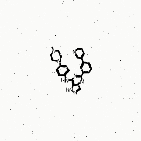 CN1CCN(c2ccc(Nc3nc(-c4cccc(-c5cccnc5)c4)nc4cn[nH]c34)cc2)CC1